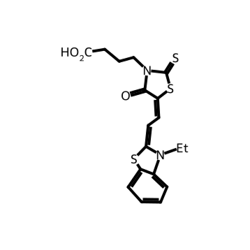 CCN1/C(=C\C=C2\SC(=S)N(CCCC(=O)O)C2=O)Sc2ccccc21